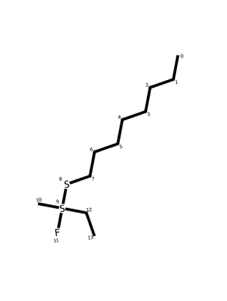 CCCCCCCCSS(C)(F)CC